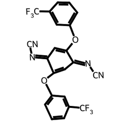 N#C/N=C1C=C(Oc2cccc(C(F)(F)F)c2)/C(=N/C#N)C=C\1Oc1cccc(C(F)(F)F)c1